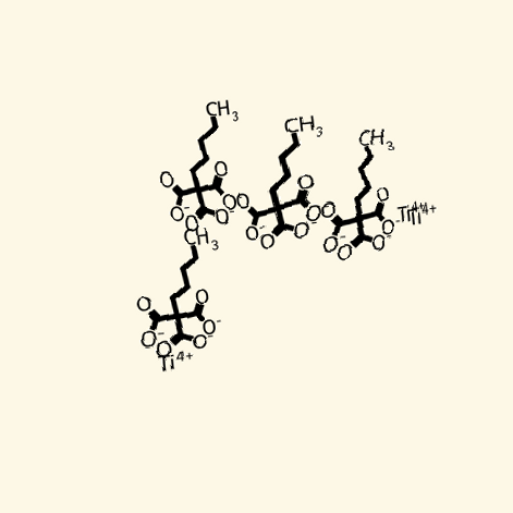 CCCCCC(C(=O)[O-])(C(=O)[O-])C(=O)[O-].CCCCCC(C(=O)[O-])(C(=O)[O-])C(=O)[O-].CCCCCC(C(=O)[O-])(C(=O)[O-])C(=O)[O-].CCCCCC(C(=O)[O-])(C(=O)[O-])C(=O)[O-].[Ti+4].[Ti+4].[Ti+4]